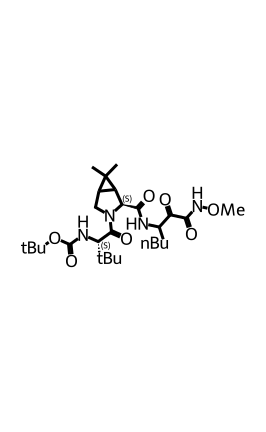 CCCCC(NC(=O)[C@@H]1C2C(CN1C(=O)[C@@H](NC(=O)OC(C)(C)C)C(C)(C)C)C2(C)C)C(=O)C(=O)NOC